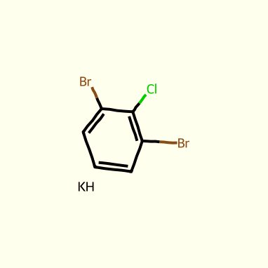 Clc1c(Br)cccc1Br.[KH]